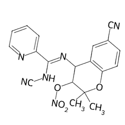 CC1(C)Oc2ccc(C#N)cc2C(N=C(NC#N)c2ccccn2)C1O[N+](=O)[O-]